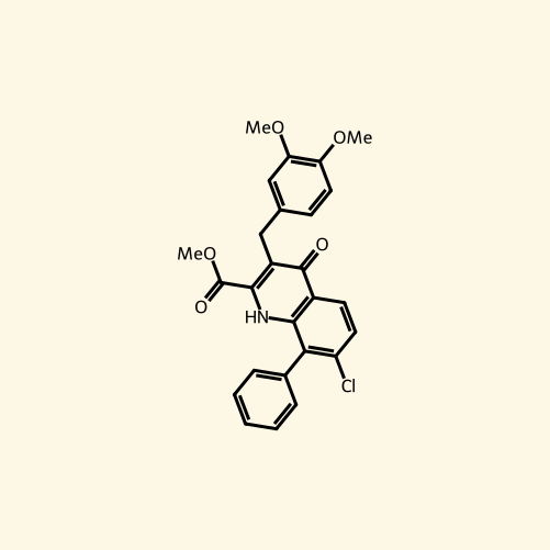 COC(=O)c1[nH]c2c(-c3ccccc3)c(Cl)ccc2c(=O)c1Cc1ccc(OC)c(OC)c1